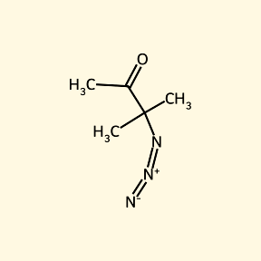 CC(=O)C(C)(C)N=[N+]=[N-]